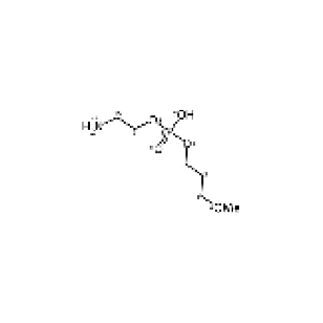 COCCCOP(=O)(O)OCCN